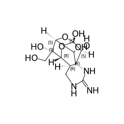 N=C1NC[C@H]2[C@H]3O[C@]4(O)O[C@@H](C(O)[C@@]2(N1)[C@@H]4O)[C@]3(O)CO